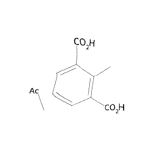 CC(C)=O.Cc1c(C(=O)O)cccc1C(=O)O